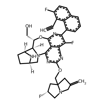 C#Cc1c(F)ccc2cccc(-c3nc4c5c(nc(OCC67CC(=C)CN6C[C@H](F)C7)nc5c3F)N3C[C@H]5CC[C@H](N5)[C@H]3[C@H](CO)O4)c12